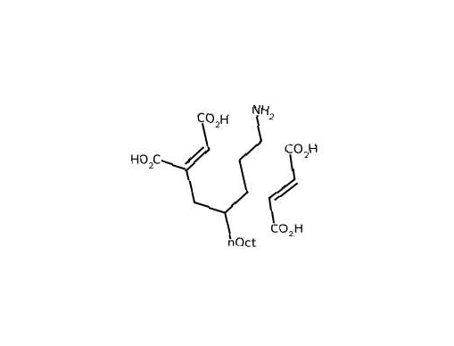 CCCCCCCCC(CCCN)CC(=CC(=O)O)C(=O)O.O=C(O)C=CC(=O)O